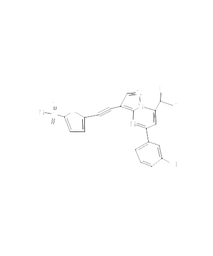 NS(=O)(=O)c1ccc(C#Cc2cnn3c(C(F)F)cc(-c4cccc(C(F)(F)F)c4)nc23)s1